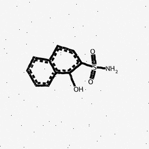 NS(=O)(=O)c1ccc2ccccc2c1O